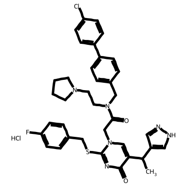 CC(c1cn[nH]c1)c1cn(CC(=O)N(CCN2CCCC2)Cc2ccc(-c3ccc(Cl)cc3)cc2)c(SCc2ccc(F)cc2)nc1=O.Cl